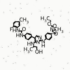 CCOC(=O)N=S(C)(=O)c1ccc(Nc2ncc(-c3ccc(NC(=O)Nc4cc(C)ccc4F)cc3)c(NC(C)CO)n2)cc1